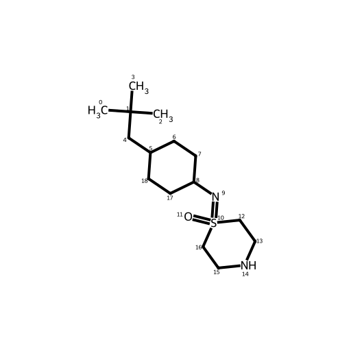 CC(C)(C)CC1CCC(N=S2(=O)CCNCC2)CC1